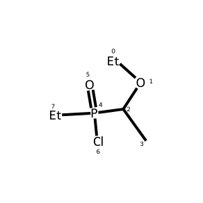 CCOC(C)P(=O)(Cl)CC